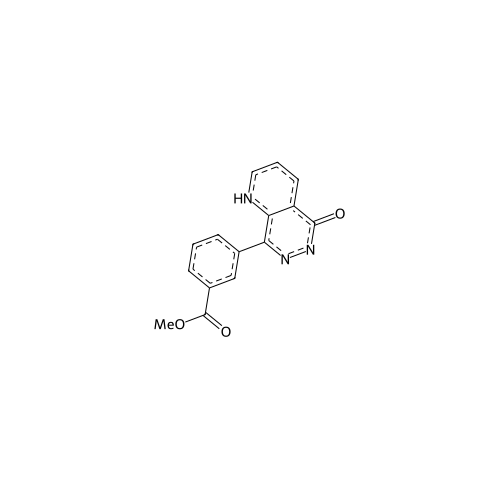 COC(=O)c1cccc(-c2nnc(=O)c3ccc[nH]c2-3)c1